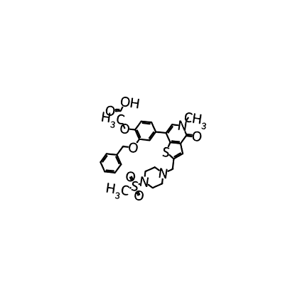 COc1ccc(-c2cn(C)c(=O)c3cc(CN4CCN(S(C)(=O)=O)CC4)sc23)cc1OCc1ccccc1.O=CO